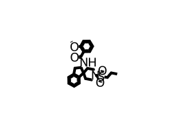 CCCS(=O)(=O)N1CCC2(CC1)c1ccccc1CC2NC(=O)c1ccccc1OC